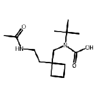 CC(=O)NCCC1(CN(C(=O)O)C(C)(C)C)CCC1